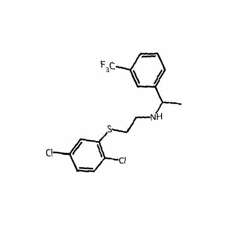 CC(NCCSc1cc(Cl)ccc1Cl)c1cccc(C(F)(F)F)c1